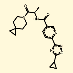 C[C@@H](NC(=O)c1ccc(-c2noc(C3CC3)n2)nc1)C(=O)N1CCC2(CC1)CC2